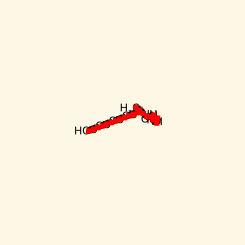 CCN(CCNC(=O)c1cnc2cc(I)ccc2n1)CCOCCOCCOCCOCCOCCOCCOCCO